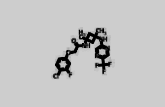 CC1(NC(=O)COc2ccc(Cl)c(F)c2)CC(C)(Nc2cnc(C(F)(F)F)cn2)C1